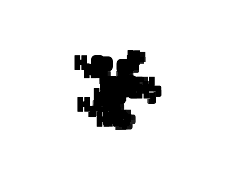 CC(=O)NCCCC[C@H](NC(=O)[C@H](Cc1c[nH]c2ccccc12)NC(C)=O)C(=O)N[C@@H](CCC(=O)C=[N+]=[N-])C(=O)OC(C)C